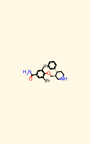 CC(C)c1cc(C(N)=O)cc(C(C)C)c1OC[C@@H]1CNCC[C@H]1c1ccccc1